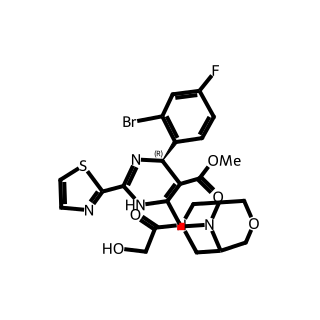 COC(=O)C1=C(CN2C3COCC2CN(C(=O)CO)C3)NC(c2nccs2)=N[C@H]1c1ccc(F)cc1Br